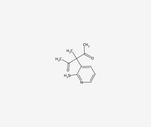 CC(=O)C(C)(C(C)=O)c1cccnc1[SiH3]